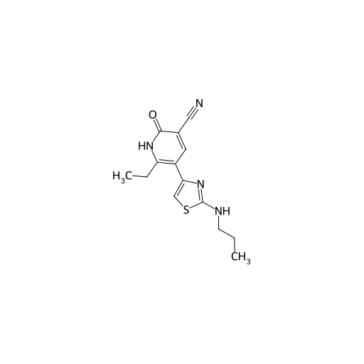 CCCNc1nc(-c2cc(C#N)c(=O)[nH]c2CC)cs1